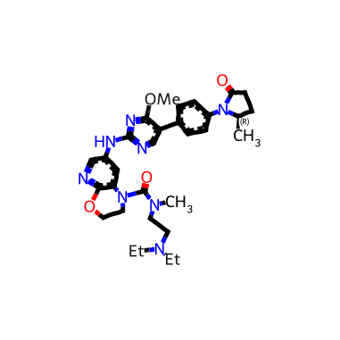 CCN(CC)CCN(C)C(=O)N1CCOc2ncc(Nc3ncc(-c4ccc(N5C(=O)CC[C@H]5C)cc4)c(OC)n3)cc21